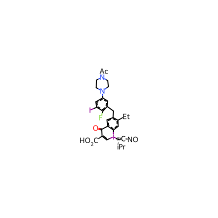 CCc1cc2c(cc1Cc1cc(N3CCN(C(C)=O)CC3)cc(I)c1F)C(=O)C(C(=O)O)=CI2[C@H](CN=O)C(C)C